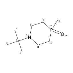 CC(C)(C)N1CCP(C)(=O)CC1